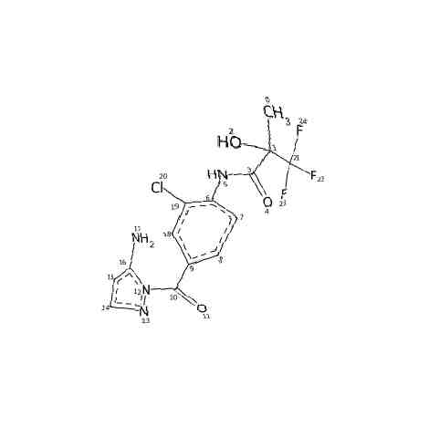 CC(O)(C(=O)Nc1ccc(C(=O)n2nccc2N)cc1Cl)C(F)(F)F